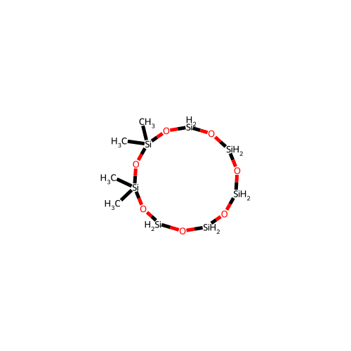 C[Si]1(C)O[SiH2]O[SiH2]O[SiH2]O[SiH2]O[SiH2]O[Si](C)(C)O1